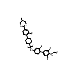 CC1COC(c2ccc(C3CCC(C(F)(F)Oc4ccc(-c5cc(F)c(OCF)c(F)c5)c(F)c4)CC3)c(F)c2)OC1